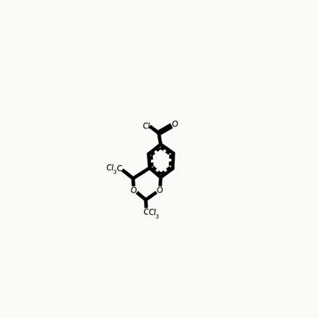 O=C(Cl)c1ccc2c(c1)C(C(Cl)(Cl)Cl)OC(C(Cl)(Cl)Cl)O2